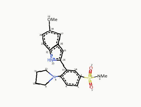 CNS(=O)(=O)c1ccc(N2CCCC2)c(-c2cc3cc(OC)ccc3[nH]2)c1